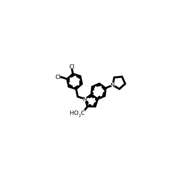 O=C(O)c1cc2cc(N3CCCC3)ccc2n1Cc1ccc(Cl)c(Cl)c1